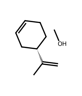 C=C(C)[C@@H]1CC=CCC1.CO